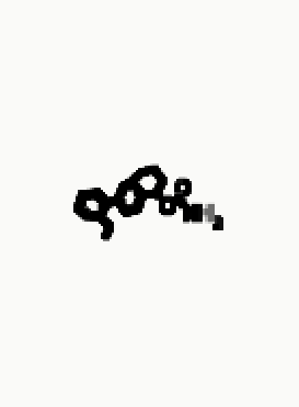 CCc1ccccc1-c1ccc2c(c1)CCCC2OC(N)=O